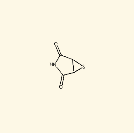 O=C1NC(=O)C2SC12